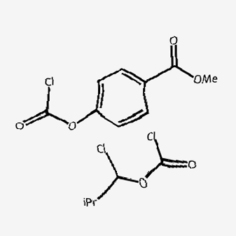 CC(C)C(Cl)OC(=O)Cl.COC(=O)c1ccc(OC(=O)Cl)cc1